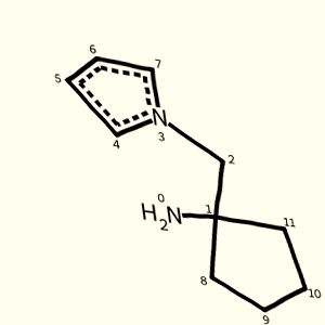 NC1(Cn2cccc2)CCCC1